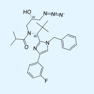 CC(C)C(=O)N(C[C@H](O)CN=[N+]=[N-])[C@@H](c1nc(-c2cccc(F)c2)cn1Cc1ccccc1)C(C)(C)C